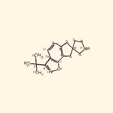 CC(C)(C)c1noc2c3c(ccc12)CC1(CCNC1)C3